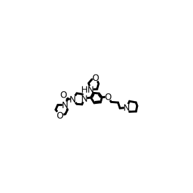 C1COCCN1.O=C(N1CCOCC1)N1CCN(c2ccc(OCCCN3CCCCC3)cc2)CC1